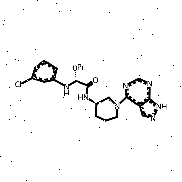 CCC[C@@H](Nc1cccc(Cl)c1)C(=O)N[C@@H]1CCCN(c2ncnc3[nH]ncc23)C1